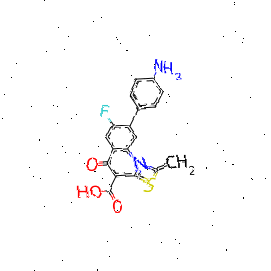 C=c1sc2c(C(=O)O)c(=O)c3cc(F)c(-c4ccc(N)cc4)cc3n12